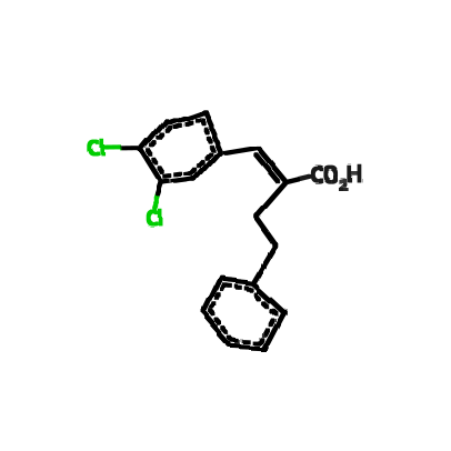 O=C(O)/C(=C/c1ccc(Cl)c(Cl)c1)CCc1ccccc1